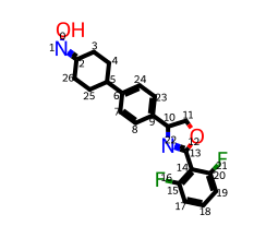 ON=C1CCC(c2ccc(C3COC(c4c(F)cccc4F)=N3)cc2)CC1